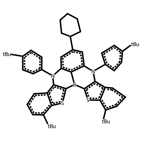 CC(C)(C)c1ccc(N2c3cc(C4CCCCC4)cc4c3B(c3sc5c(C(C)(C)C)cccc5c32)c2sc3c(C(C)(C)C)cccc3c2N4c2ccc(C(C)(C)C)cc2)cc1